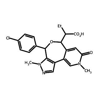 CCC(C(=O)O)C1OC(c2ccc(Cl)cc2)c2c(cnn2C)-c2cn(C)c(=O)cc21